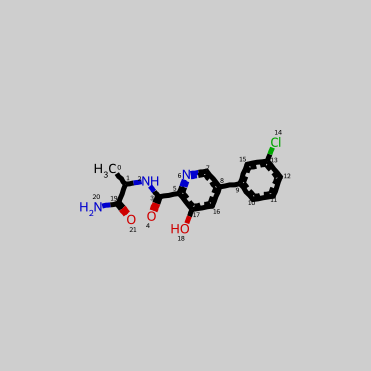 CC(NC(=O)c1ncc(-c2cccc(Cl)c2)cc1O)C(N)=O